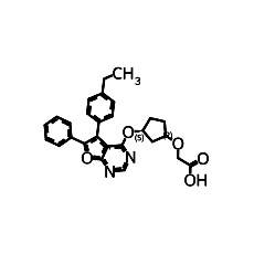 CCc1ccc(-c2c(-c3ccccc3)oc3ncnc(O[C@H]4CC[C@@H](OCC(=O)O)C4)c23)cc1